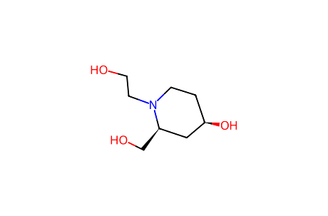 OCCN1CC[C@@H](O)C[C@H]1CO